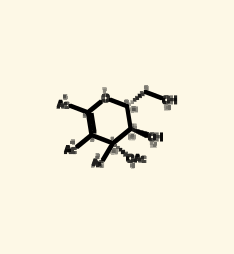 CC(=O)O[C@]1(C(C)=O)C(C(C)=O)=C(C(C)=O)O[C@H](CO)[C@H]1O